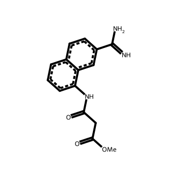 COC(=O)CC(=O)Nc1cccc2ccc(C(=N)N)cc12